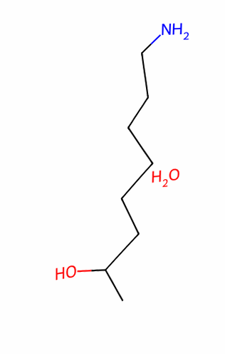 CC(O)CCCCCCN.O